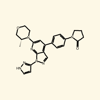 C[C@@H]1COCCN1c1cc(-c2ccc(N3CCCC3=O)cc2)c2cnn(-c3cc[nH]n3)c2n1